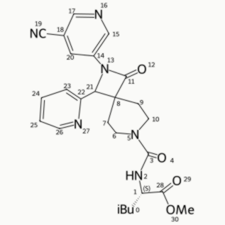 CCC(C)[C@H](NC(=O)N1CCC2(CC1)C(=O)N(c1cncc(C#N)c1)C2c1ccccn1)C(=O)OC